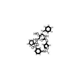 Nc1cccc(S(=O)(=O)C2(ONC[C@@H](O)[C@H](Cc3ccccc3)NC(=O)Oc3ccoc3)CCCC2)c1